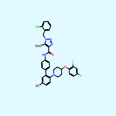 COc1c(C(=O)Nc2ccc(-c3cc(C#N)ccc3N3CCC(Oc4ccc(F)cc4F)CC3)cc2)nnn1Cc1ccccc1Cl